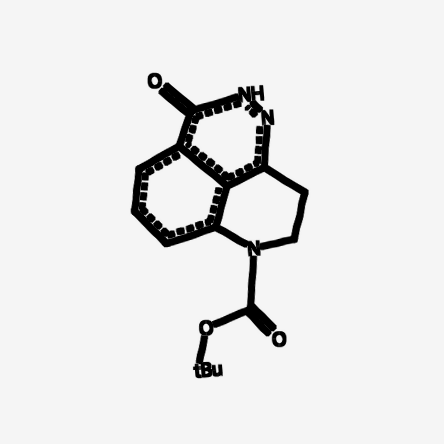 CC(C)(C)OC(=O)N1CCc2n[nH]c(=O)c3cccc1c23